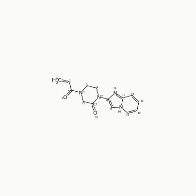 C=CC(=O)N1CCN(c2cn3ccccc3n2)C(=O)C1